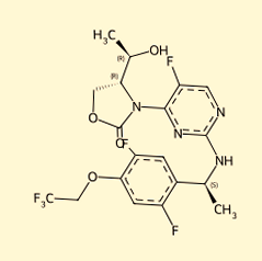 C[C@H](Nc1ncc(F)c(N2C(=O)OC[C@@H]2[C@@H](C)O)n1)c1cc(F)c(OCC(F)(F)F)cc1F